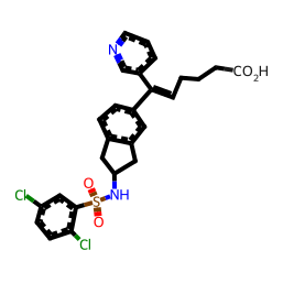 O=C(O)CCCC=C(c1cccnc1)c1ccc2c(c1)CC(NS(=O)(=O)c1cc(Cl)ccc1Cl)C2